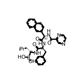 CC(C)C[C@H](NC(=O)[C@H](Cc1ccccc1)NC(=O)[C@@H](NC(=O)c1cnccn1)c1ccc2ccccc2c1)B(O)O